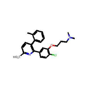 Cc1ccccc1-c1ccc(C(=O)O)nc1-c1ccc(Cl)c(OCCCN(C)C)c1